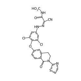 N#CC(=NNc1cc(Cl)c(Oc2ccc3c(c2)CCN(c2nccs2)C3=O)c(Cl)c1)C(=O)NC(=O)O